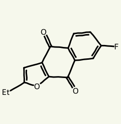 CCc1cc2c(o1)C(=O)c1cc(F)ccc1C2=O